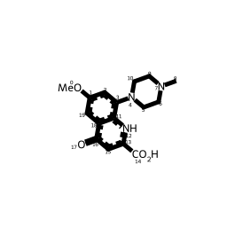 COc1cc(N2CCN(C)CC2)c2[nH]c(C(=O)O)cc(=O)c2c1